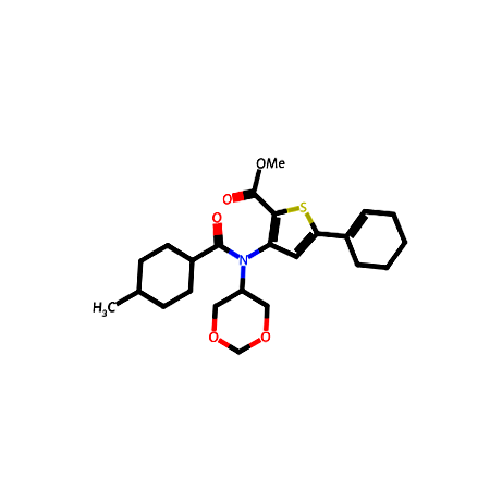 COC(=O)c1sc(C2=CCCCC2)cc1N(C(=O)C1CCC(C)CC1)C1COCOC1